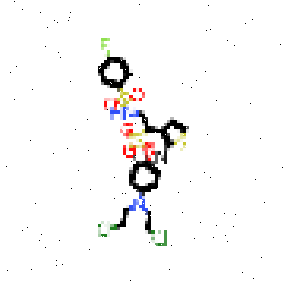 O=[N+]([O-])c1sccc1C(CNS(=O)(=O)c1ccc(F)cc1)S(=O)(=O)Oc1ccc(N(CCCl)CCCl)cc1